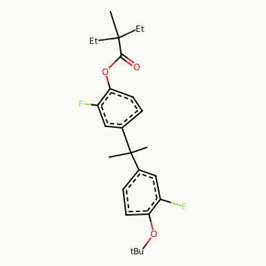 CCC(C)(CC)C(=O)Oc1ccc(C(C)(C)c2ccc(OC(C)(C)C)c(F)c2)cc1F